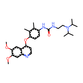 COc1cc2nccc(Oc3ccc(NC(=O)NCCN(C(C)C)C(C)C)c(C)c3C)c2cc1OC